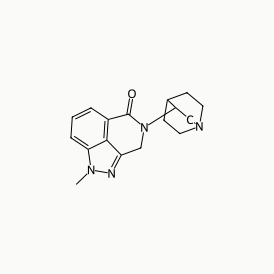 Cn1nc2c3c(cccc31)C(=O)N(C1CN3CCC1CC3)C2